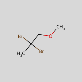 COCC(C)(Br)Br